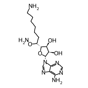 NCCCCCCC(ON)[C@H]1O[C@@H](n2cnc3c(N)ncnc32)[C@H](O)[C@@H]1O